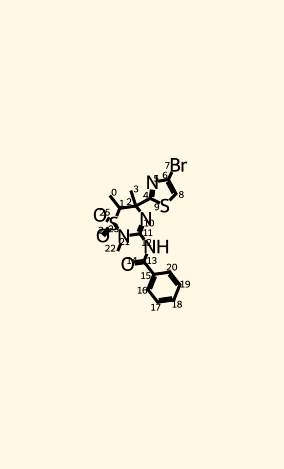 CC1C(C)(c2nc(Br)cs2)N=C(NC(=O)c2ccccc2)N(C)S1(=O)=O